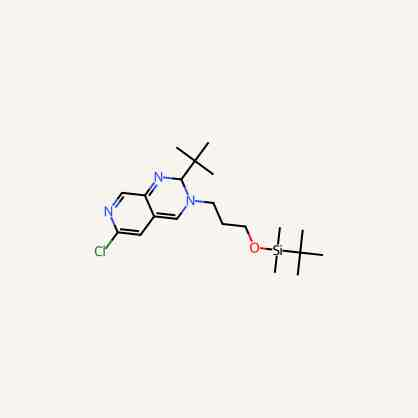 CC(C)(C)C1N=c2cnc(Cl)cc2=CN1CCCO[Si](C)(C)C(C)(C)C